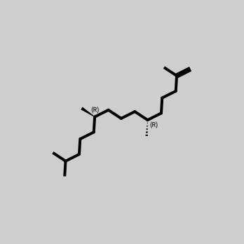 C=C(C)CCC[C@H](C)CCC[C@H](C)CCCC(C)C